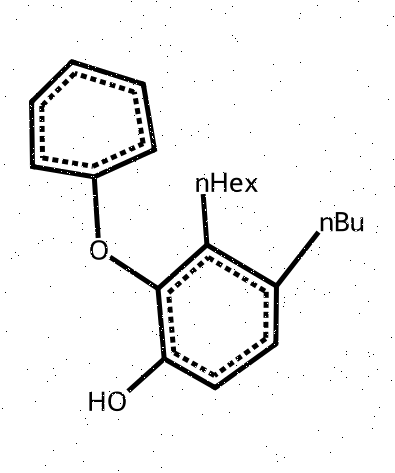 CCCCCCc1c(CCCC)ccc(O)c1Oc1ccccc1